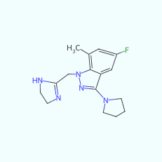 Cc1cc(F)cc2c(N3CCCC3)nn(CC3=NCCN3)c12